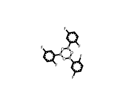 Fc1ccc(F)c(B2OB(c3cc(F)ccc3F)OB(c3cc(F)ccc3F)O2)c1